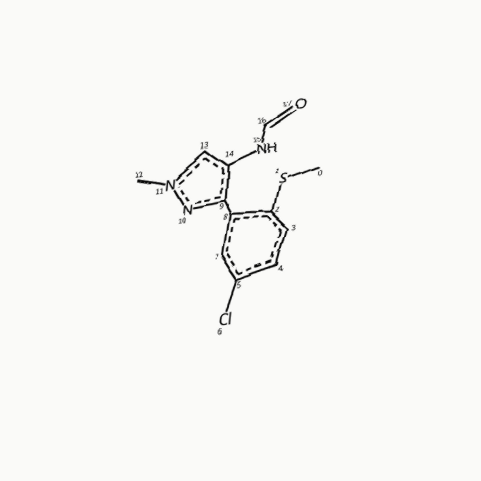 CSc1ccc(Cl)cc1-c1nn(C)cc1NC=O